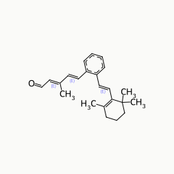 CC1=C(/C=C/c2ccccc2/C=C/C(C)=C/C=O)C(C)(C)CCC1